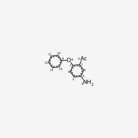 CC(=O)c1cc(N)ccc1Oc1ccccc1